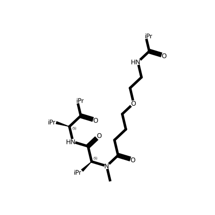 CC(C)C(=O)NCCOCCCC(=O)N(C)[C@H](C(=O)N[C@H](C(=O)C(C)C)C(C)C)C(C)C